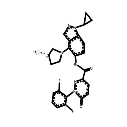 C[C@H]1CCN(c2c(NC(=O)c3ccc(=O)n(-c4c(F)cccc4F)n3)ccc3c2cnn3C2CC2)C1